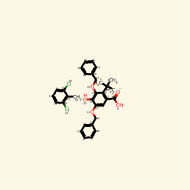 CC(C)(C)c1c(C(=O)O)cc(OCc2ccccc2)c(O)c1OCc1ccccc1.Cc1c(Cl)cccc1Cl